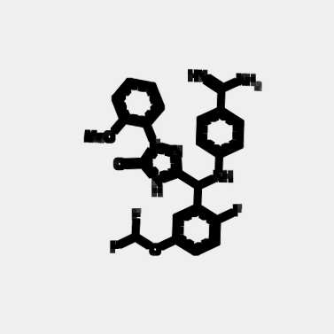 COc1ccccc1-n1nc(C(Nc2ccc(C(=N)N)cc2)c2cc(OC(F)F)ccc2F)[nH]c1=O